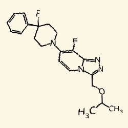 CC(C)OCc1nnc2c(F)c(N3CCC(F)(c4ccccc4)CC3)ccn12